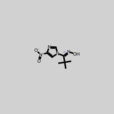 CC(C)(C)/C(=N\O)n1cnc([N+](=O)[O-])c1